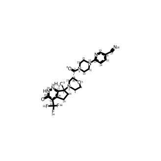 C[C@@]1(N2CCO[C@@H](C(=O)N3CCN(c4ccc(C#N)cn4)CC3)C2)CCc2c1n[nH]c(=O)c2C(F)(F)F